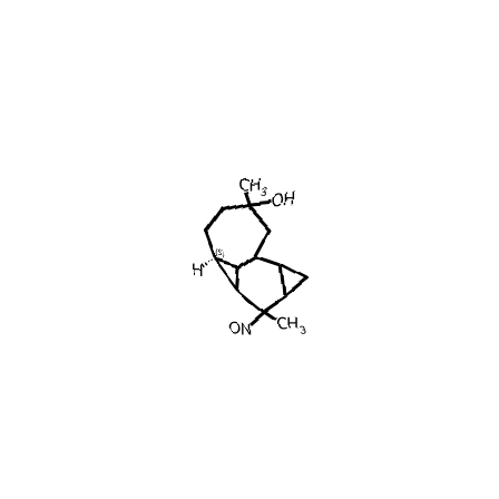 CC1(O)CC[C@H]2C3C(C1)C1CC1C(C)(N=O)C32